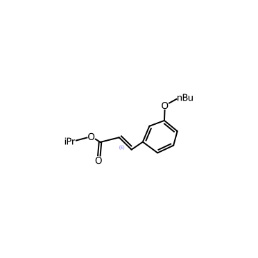 CCCCOc1cccc(/C=C/C(=O)OC(C)C)c1